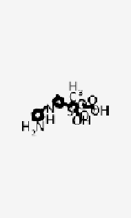 Cc1c(-c2cccc(NCc3cccc(N)c3)c2)sc(C(=O)O)c1OCC(=O)O